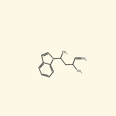 C=CC(C)CC(C)n1ccc2ccccc21